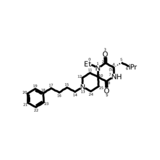 CCN1C(=O)[C@H](CC(C)C)NC(=O)C12CCN(CCCCc1ccccc1)CC2